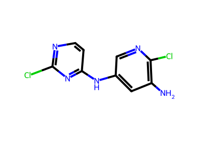 Nc1cc(Nc2ccnc(Cl)n2)cnc1Cl